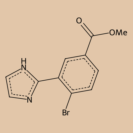 COC(=O)c1ccc(Br)c(-c2ncc[nH]2)c1